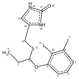 CCC(Oc1cccc(I)c1I)SCc1c[nH]c(=O)[nH]1